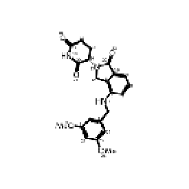 COc1cc(CNc2cccc3c2CN([C@H]2CCC(=O)NC2=O)C3=O)cc(OC)c1